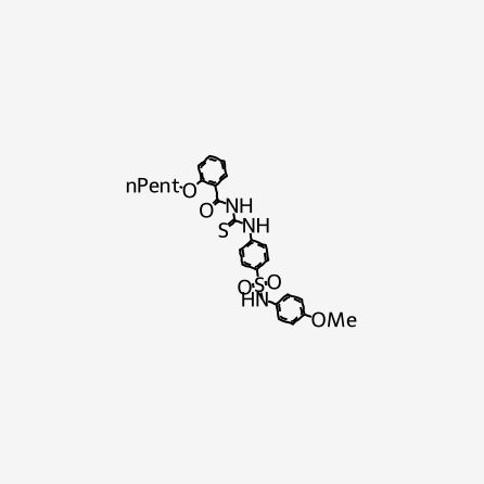 CCCCCOc1ccccc1C(=O)NC(=S)Nc1ccc(S(=O)(=O)Nc2ccc(OC)cc2)cc1